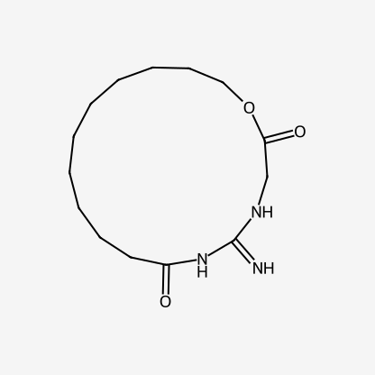 N=C1NCC(=O)OCCCCCCCCCCC(=O)N1